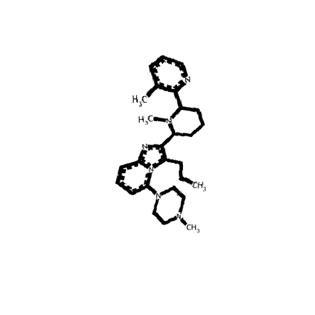 CCCc1c(C2CCCC(c3ncccc3C)N2C)nc2cccc(N3CCN(C)CC3)n12